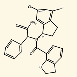 NC(=O)C(c1ccccc1)N(C(=O)c1cccc2c1OCC2)[C@@H]1CCc2c(F)cc(Cl)cc21